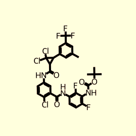 Cc1cc(C2C(C(=O)Nc3ccc(Cl)c(C(=O)Nc4ccc(F)c(NC(=O)OC(C)(C)C)c4F)c3)C2(Cl)Cl)cc(C(F)(F)F)c1